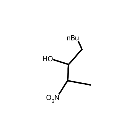 CCCCCC(O)C(C)[N+](=O)[O-]